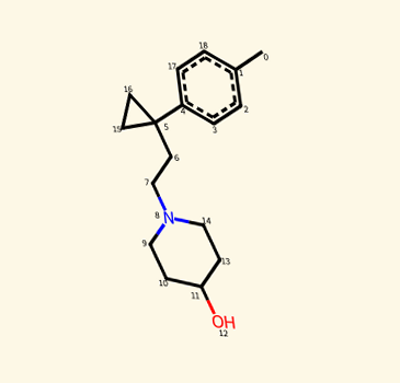 Cc1ccc(C2(CCN3CCC(O)CC3)CC2)cc1